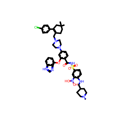 CN1CCC(CNc2ccc(S(=O)(=O)NC(=O)c3ccc(N4CCN(CC5=C(c6ccc(Cl)cc6)CC(C)(C)CC5)CC4)cc3Oc3cccc4[nH]cnc34)cc2N(O)O)CC1